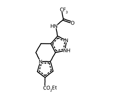 CCOC(=O)c1cc2n(c1)CCc1c(NC(=O)C(F)(F)F)n[nH]c1-2